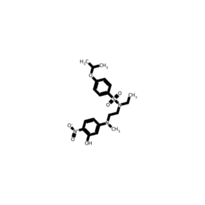 CCN(CCN(C)c1ccc([N+](=O)[O-])c(O)c1)S(=O)(=O)c1ccc(OC(C)C)cc1